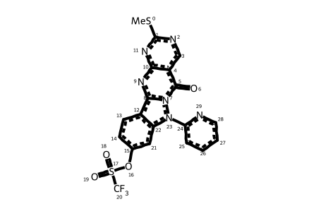 CSc1ncc2c(=O)n3c(nc2n1)c1ccc(OS(=O)(=O)C(F)(F)F)cc1n3-c1ccccn1